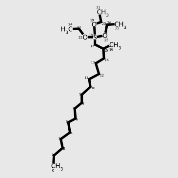 CCCCCCCCCCCCCCCC(C)CS(OCC)(OCC)OCC